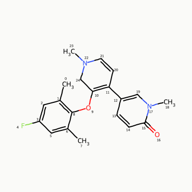 Cc1cc(F)cc(C)c1OC1=C(c2ccc(=O)n(C)c2)C=CN(C)C1